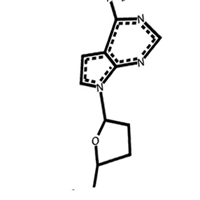 Nc1ncnc2c1ccn2C1CCC(CO)O1